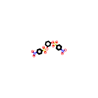 O=[N+]([O-])c1ccc(S(=O)(=O)OC2CCCC(OS(=O)(=O)c3ccc([N+](=O)[O-])cc3)C2)cc1